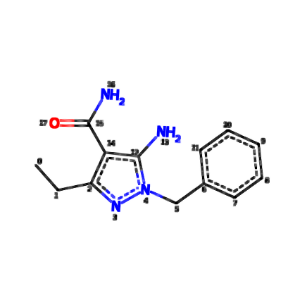 CCc1nn(Cc2ccccc2)c(N)c1C(N)=O